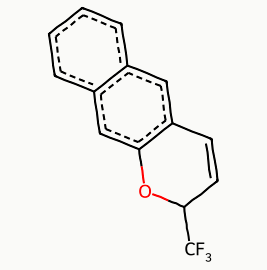 FC(F)(F)C1C=Cc2cc3ccccc3cc2O1